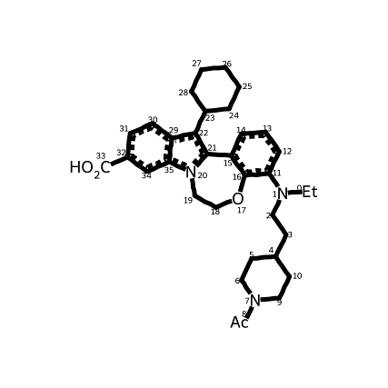 CCN(CCC1CCN(C(C)=O)CC1)c1cccc2c1OCCn1c-2c(C2CCCCC2)c2ccc(C(=O)O)cc21